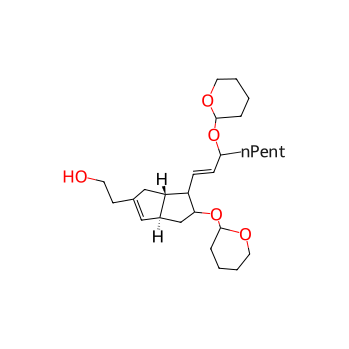 CCCCCC(C=CC1C(OC2CCCCO2)C[C@H]2C=C(CCO)C[C@H]12)OC1CCCCO1